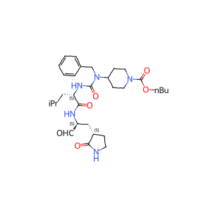 CCCCOC(=O)N1CCC(N(Cc2ccccc2)C(=O)N[C@@H](CC(C)C)C(=O)N[C@H](C=O)C[C@@H]2CCNC2=O)CC1